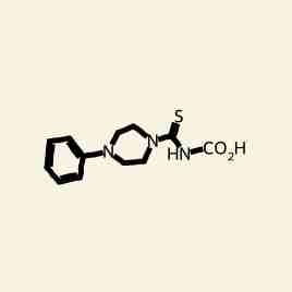 O=C(O)NC(=S)N1CCN(c2ccccc2)CC1